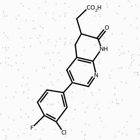 O=C(O)CC1Cc2cc(-c3ccc(F)c(Cl)c3)cnc2NC1=O